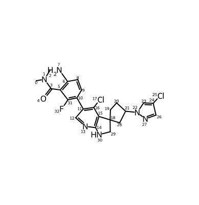 CN(C)C(=O)c1c(N)ccc(-c2cnc3c(c2Cl)C2(CCC(n4cc(Cl)cn4)C2)CN3)c1F